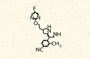 Cc1cc(C#N)ccc1/C(C=N)=C1\CC(CCOc2ncc(F)cn2)CN1